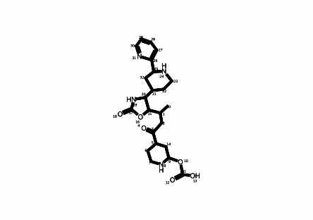 CC(CC(=O)C1CCNC(OC(=O)O)C1)C1OC(=O)NC1C1CCNC(c2ccccn2)C1